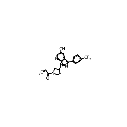 C=CC(=O)N1CCC(n2nc(-c3ccc(C(F)(F)F)cc3)c3cc(C#N)cnc32)C1